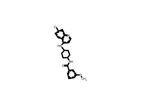 COc1cccc(C(=O)NC2CCC(Nc3ccnc4cc(Cl)ccc34)CC2)c1